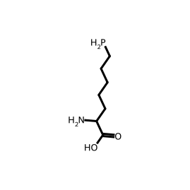 NC(CCCCCP)C(=O)O